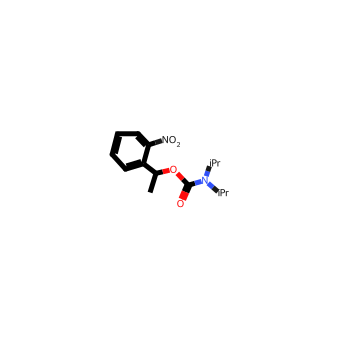 CC(OC(=O)N(C(C)C)C(C)C)c1ccccc1[N+](=O)[O-]